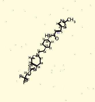 Cc1ncc(/C=C/C(=O)N[C@H]2CC[C@H](CCN3CCc4nc(OCC(F)(F)F)sc4CC3)CC2)s1